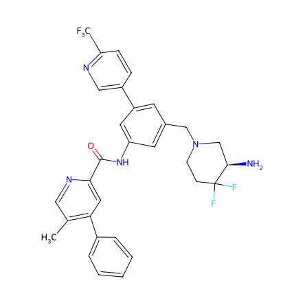 Cc1cnc(C(=O)Nc2cc(CN3CCC(F)(F)[C@H](N)C3)cc(-c3ccc(C(F)(F)F)nc3)c2)cc1-c1ccccc1